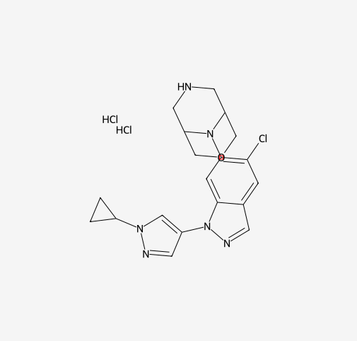 Cl.Cl.Clc1cc2cnn(-c3cnn(C4CC4)c3)c2cc1N1C2CNCC1COC2